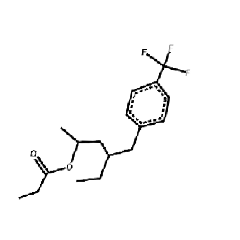 CCC(=O)OC(C)CC(CC)Cc1ccc(C(F)(F)F)cc1